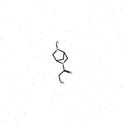 CC(C)N1CC2CC1CN2C(=O)CC(C)(C)C